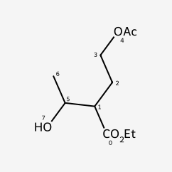 CCOC(=O)C(CCOC(C)=O)C(C)O